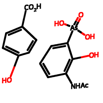 CC(=O)Nc1cccc([As](=O)(O)O)c1O.O=C(O)c1ccc(O)cc1